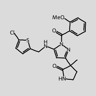 COc1ccccc1C(=O)n1nc(C2(C)CCNC2=O)cc1NCc1ccc(Cl)s1